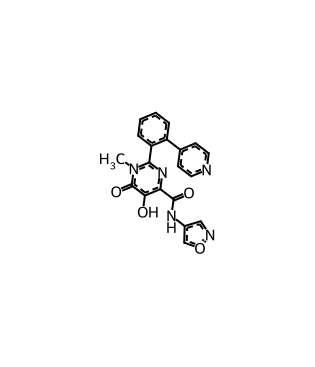 Cn1c(-c2ccccc2-c2ccncc2)nc(C(=O)Nc2cnoc2)c(O)c1=O